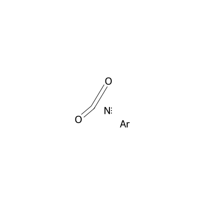 O=C=O.[Ar].[N]